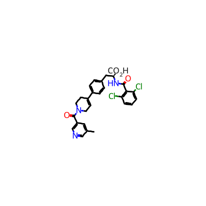 Cc1cncc(C(=O)N2CC=C(c3ccc(C[C@H](NC(=O)c4c(Cl)cccc4Cl)C(=O)O)cc3)CC2)c1